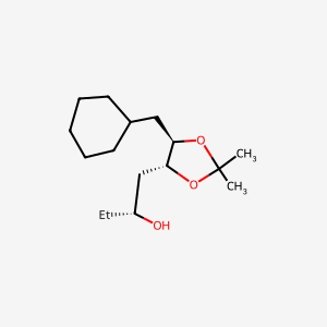 CC[C@@H](O)C[C@H]1OC(C)(C)O[C@@H]1CC1CCCCC1